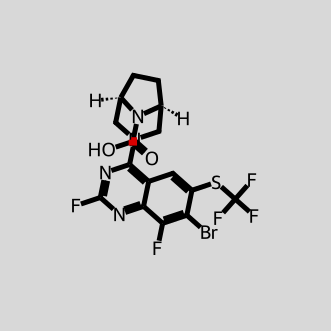 O=C(O)N1[C@@H]2CC[C@H]1CN(c1nc(F)nc3c(F)c(Br)c(SC(F)(F)F)cc13)C2